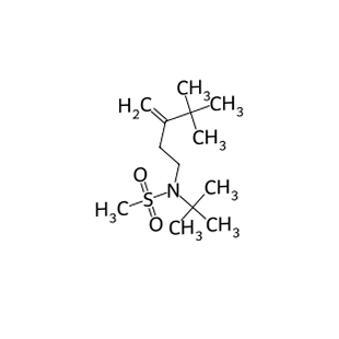 C=C(CCN(C(C)(C)C)S(C)(=O)=O)C(C)(C)C